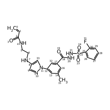 C=CC(=O)NCCNc1cnn(-c2cc(C)cc(C(=O)NNS(=O)(=O)c3ccccc3F)c2)c1